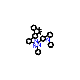 CC1(C)c2ccccc2-c2cc(-c3ccccc3-c3nc(-c4ccccc4)nc(-c4ccc5c6ccccc6n(-c6ccccc6)c5c4)n3)ccc2C1(C)C